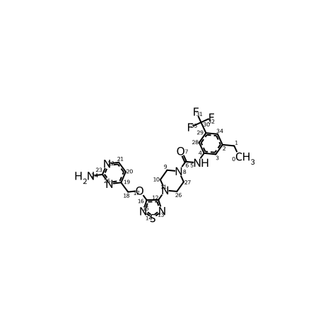 CCc1cc(NC(=O)N2CCN(c3nsnc3OCc3ccnc(N)n3)CC2)cc(C(F)(F)F)c1